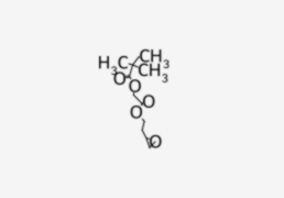 CCC(C)(C)C(=O)OCC(=O)OCCC1CO1